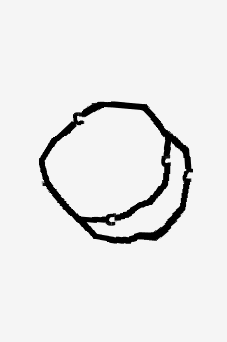 [CH]1CCC[CH]C2CCCCCCC(C1)CCCCC2